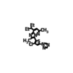 CCC(CC)c1cc(C)nn2c(-c3sc(-n4cncn4)cc3Cl)c(C)nc12